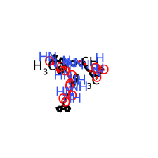 COc1ccc(C#CCNC2(C)CCN(C3CCN(c4nc([C@@](COCNC(=O)CNC(=O)[C@H](Cc5ccccc5)NC(=O)CNC(=O)CNC(=O)OCC5c6ccccc6-c6ccccc65)(OC5CC5)c5ccccc5)c5cc(-c6cn(C)c(=O)c7[nH]ccc67)ccc5n4)CC3)CC2)cc1N1CCC(=O)NC1=O